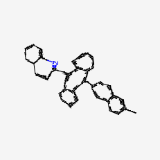 Cc1ccc2cc(-c3c4ccccc4c(C4=NC5=CC=CCC5C=C4)c4ccccc34)ccc2c1